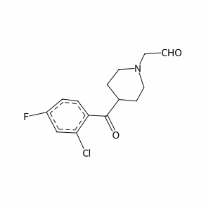 O=CCN1CCC(C(=O)c2ccc(F)cc2Cl)CC1